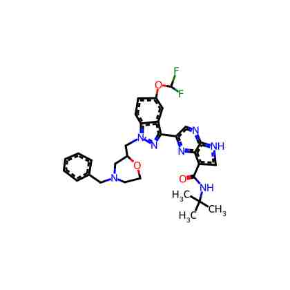 CC(C)(C)NC(=O)c1c[nH]c2ncc(-c3nn(CC4CN(Cc5ccccc5)CCO4)c4ccc(OC(F)F)cc34)nc12